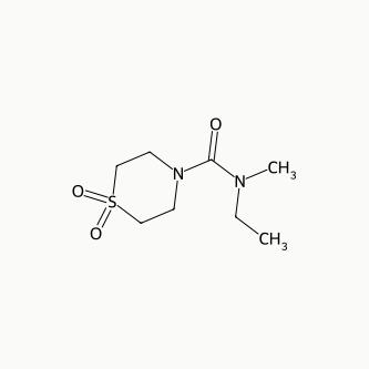 CCN(C)C(=O)N1CCS(=O)(=O)CC1